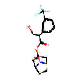 CN1C2CCC1CC(OC(=O)C(CO)c1cccc(C(F)(F)F)c1)C2